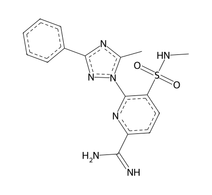 CNS(=O)(=O)c1ccc(C(=N)N)nc1-n1nc(-c2ccccc2)nc1C